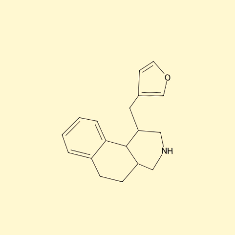 c1ccc2c(c1)CCC1CNCC(Cc3ccoc3)C21